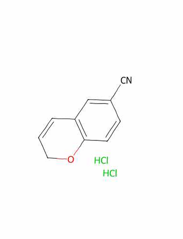 Cl.Cl.N#Cc1ccc2c(c1)C=CCO2